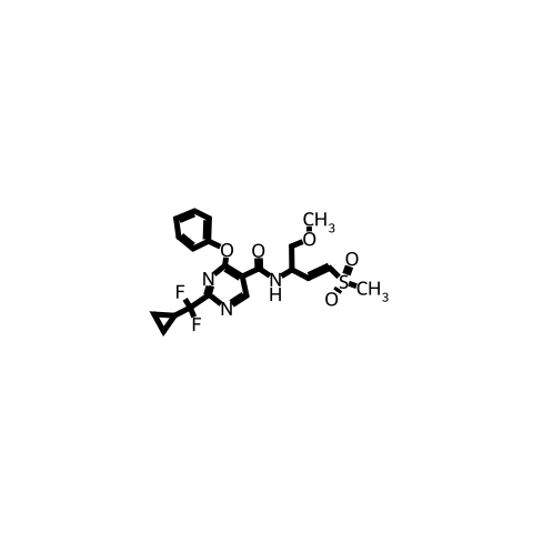 COCC(C=CS(C)(=O)=O)NC(=O)c1cnc(C(F)(F)C2CC2)nc1Oc1ccccc1